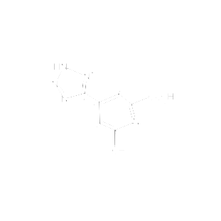 Cc1cc(-c2nn[nH]n2)cc(C(=O)O)n1